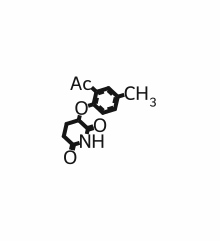 CC(=O)c1cc(C)ccc1OC1CCC(=O)NC1=O